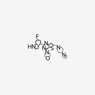 Fc1cc(-c2nc(N3CCOCC3)c3sc(CN4CCC(N5CCC5)CC4)cc3n2)c2cc[nH]c2c1